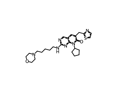 O=c1c(Cc2nccs2)cc2cnc(NCCCCCN3CCOCC3)nc2n1C1CCCC1